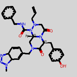 C=CCN1CC(=O)N2[C@@H](Cc3ccc(O)cc3)C(=O)N(CC3=CC4C(C=C3)NNN4C)C[C@@H]2N1C(=O)NCc1ccccc1